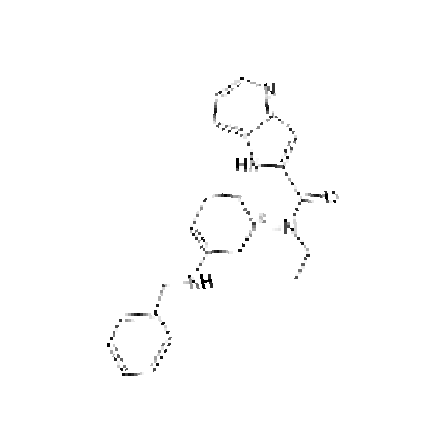 CCN(C(=O)c1cc2ncccc2[nH]1)[C@H]1CCC=C(NCc2ccccc2)C1